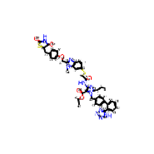 CCCc1nc(NC(=O)CSc2ccc3nc(COc4ccc(CC5SC(=O)NC5=O)cc4)n(C)c3c2)c(C(=O)OCC)n1Cc1ccc(-c2ccccc2-c2nnn[nH]2)cc1